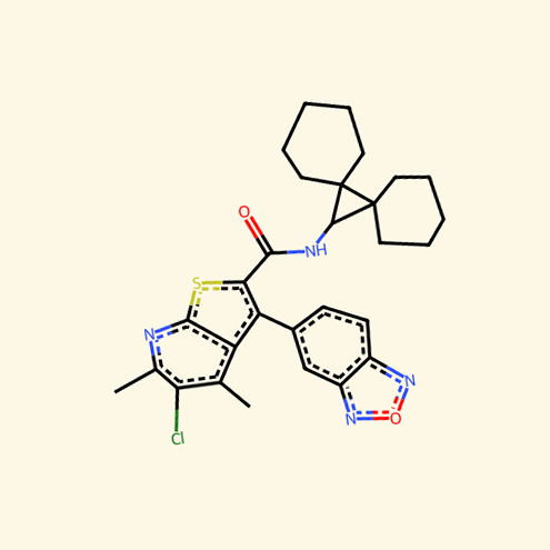 Cc1nc2sc(C(=O)NC3C4(CCCCC4)C34CCCCC4)c(-c3ccc4nonc4c3)c2c(C)c1Cl